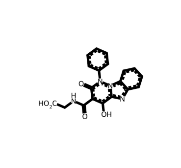 O=C(O)CNC(=O)c1c(O)c2nc3ccccc3n2n(-c2ccccc2)c1=O